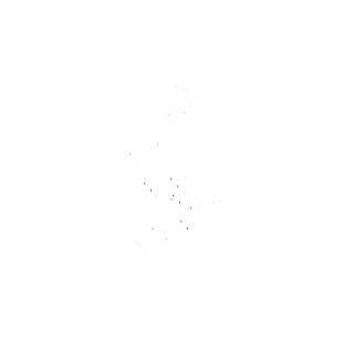 O=C(OCc1ccccc1)c1nc2c3ccccc3[nH]c(=O)n2n1